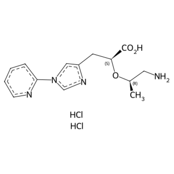 C[C@H](CN)O[C@@H](Cc1cn(-c2ccccn2)cn1)C(=O)O.Cl.Cl